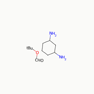 CC(C)(C)OC=O.NC1CCCC(N)C1